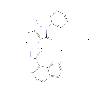 Cc1c(-n2cc(-c3c(O)ccc4ccccc34)nn2)c(=O)n(-c2ccccc2)n1C